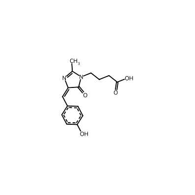 CC1=NC(=Cc2ccc(O)cc2)C(=O)N1CCCC(=O)O